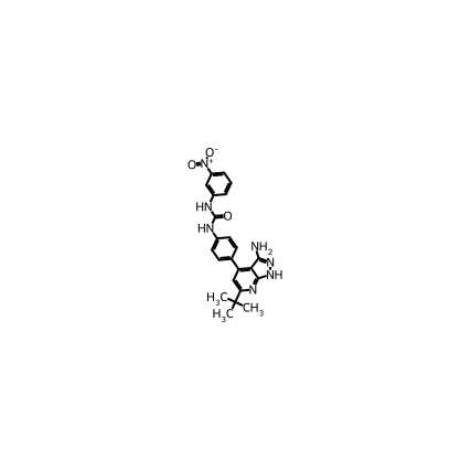 CC(C)(C)c1cc(-c2ccc(NC(=O)Nc3cccc([N+](=O)[O-])c3)cc2)c2c(N)n[nH]c2n1